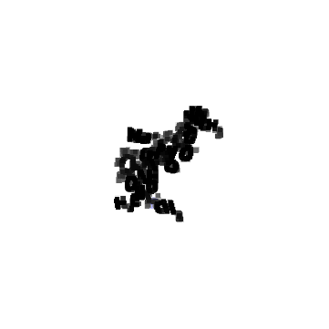 C/C=C/C(=O)N(C)C(=O)NC(C(=O)NC1C(=O)N2C(C(=O)[O-])=C(CSc3nnnn3C)CS[C@@H]12)c1ccccc1.[Na+]